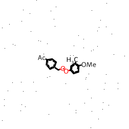 COc1ccc(OOCc2ccc(C(C)=O)cc2)cc1C